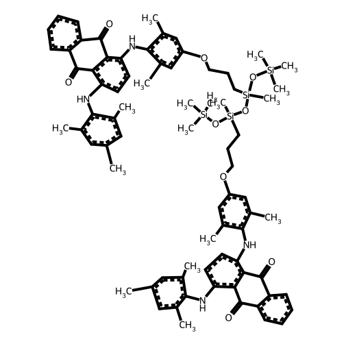 Cc1cc(C)c(Nc2ccc(Nc3c(C)cc(OCCC[Si](C)(O[Si](C)(C)C)O[Si](C)(CCCOc4cc(C)c(Nc5ccc(Nc6c(C)cc(C)cc6C)c6c5C(=O)c5ccccc5C6=O)c(C)c4)O[Si](C)(C)C)cc3C)c3c2C(=O)c2ccccc2C3=O)c(C)c1